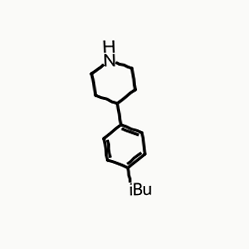 CCC(C)c1ccc(C2CCNCC2)cc1